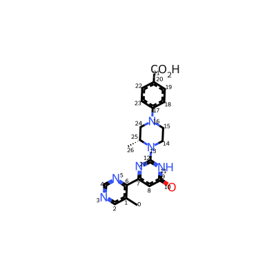 Cc1cncnc1-c1cc(=O)[nH]c(N2CCN(c3ccc(C(=O)O)cc3)C[C@H]2C)n1